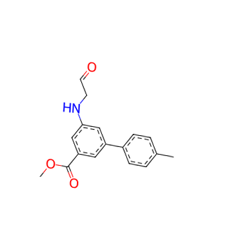 COC(=O)c1cc(NCC=O)cc(-c2ccc(C)cc2)c1